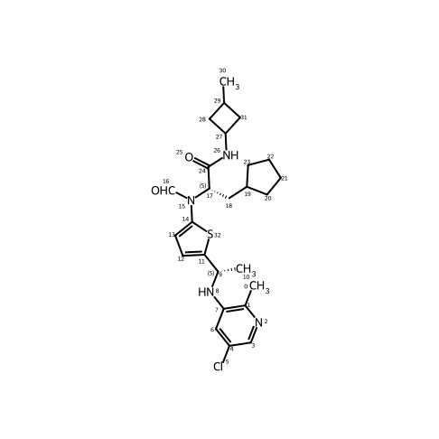 Cc1ncc(Cl)cc1N[C@@H](C)c1ccc(N(C=O)[C@@H](CC2CCCC2)C(=O)NC2CC(C)C2)s1